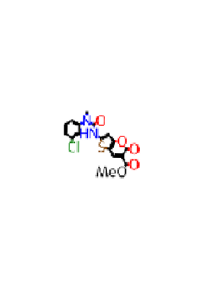 COC(=O)c1cc2sc(NC(=O)N(C)c3cccc(Cl)c3)cc2oc1=O